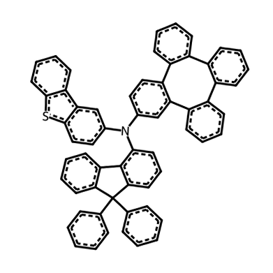 c1ccc(C2(c3ccccc3)c3ccccc3-c3c(N(c4ccc5c(c4)-c4ccccc4-c4ccccc4-c4ccccc4-5)c4ccc5sc6ccccc6c5c4)cccc32)cc1